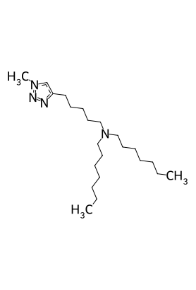 CCCCCCCN(CCCCCCC)CCCCCc1cn(C)nn1